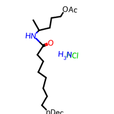 CCCCCCCCCCCCCCCCCC(=O)NC(C)CCCOC(C)=O.Cl.N